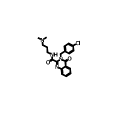 CN(C)CCCNC(=O)c1nc2ccccc2c(=O)n1Cc1ccc(Cl)cc1